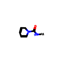 [2H]NC(=O)N1C=CC=CC1